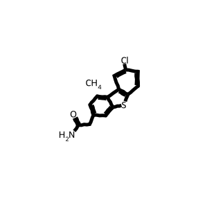 C.NC(=O)Cc1ccc2c(c1)sc1ccc(Cl)cc12